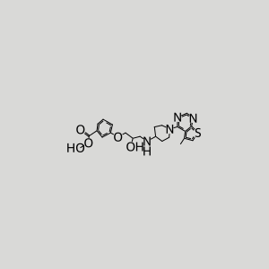 Cc1csc2ncnc(N3CCC(NCC(O)COc4cccc(C(=O)OO)c4)CC3)c12